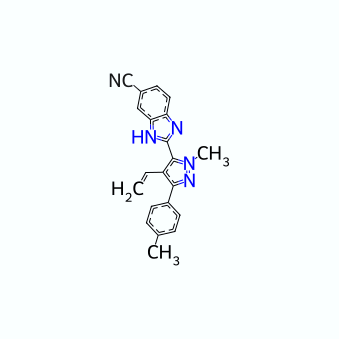 C=Cc1c(-c2ccc(C)cc2)nn(C)c1-c1nc2ccc(C#N)cc2[nH]1